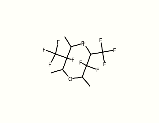 CC(OC(C)C(F)(C(C)F)C(F)(F)F)C(F)(F)C(F)C(F)(F)F